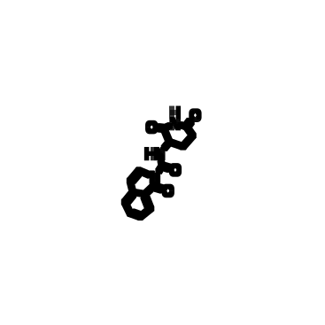 O=C1CCC(NC(=O)n2ccc3ccccc3c2=O)C(=O)N1